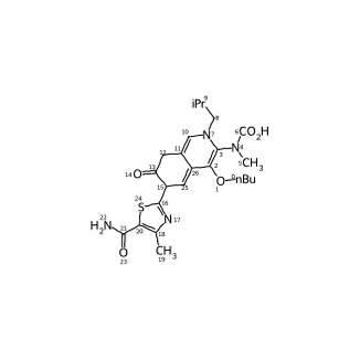 CCCCOC1=C(N(C)C(=O)O)N(CC(C)C)C=C2CC(=O)C(c3nc(C)c(C(N)=O)s3)C=C21